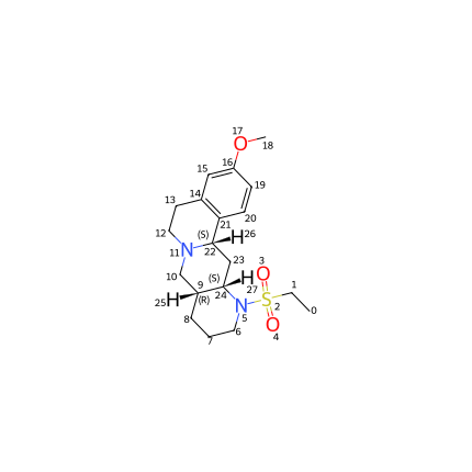 CCS(=O)(=O)N1CCC[C@@H]2CN3CCc4cc(OC)ccc4[C@@H]3C[C@@H]21